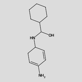 NC1=CCC(NC(O)C2CCCCC2)C=C1